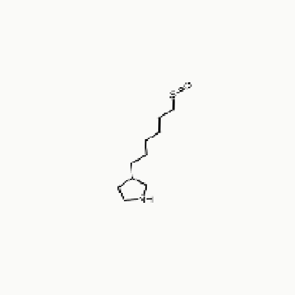 O=[S+]CCCCCCC1CCNC1